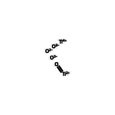 [O-2].[O-2].[O-2].[O]=[Ti+2].[Ti+4]